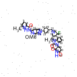 COc1nc(NC(=O)c2cccc(C)n2)cc2cn([C@H]3CC[C@H](CN4CC[C@@H](c5cccc6c5n(C)c(=O)n6C5CCC(=O)NC5=O)[C@H](F)C4)CC3)nc12